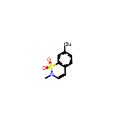 CN1C=Cc2ccc(C(C)(C)C)cc2S1(=O)=O